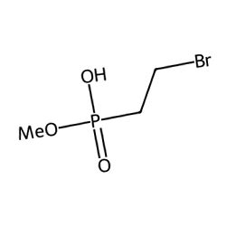 COP(=O)(O)CCBr